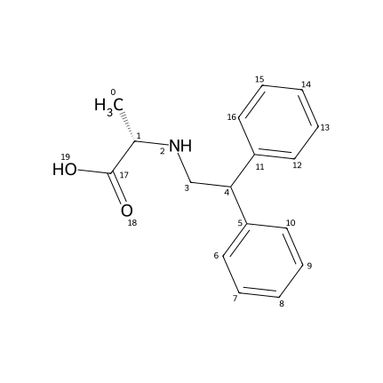 C[C@H](NCC(c1ccccc1)c1ccccc1)C(=O)O